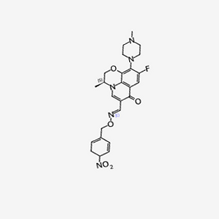 C[C@H]1COc2c(N3CCN(C)CC3)c(F)cc3c(=O)c(/C=N/OCC4=CCC([N+](=O)[O-])C=C4)cn1c23